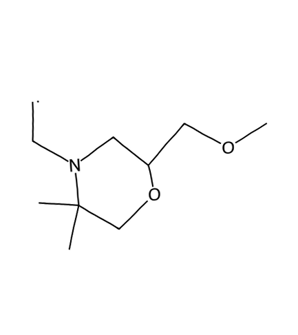 [CH2]CN1CC(COC)OCC1(C)C